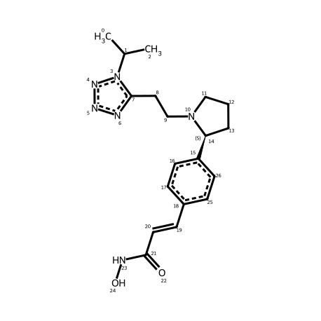 CC(C)n1nnnc1CCN1CCC[C@H]1c1ccc(C=CC(=O)NO)cc1